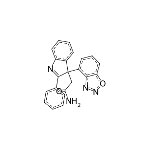 NC(=O)CC1(c2cccc3onnc23)C(c2ccccc2)=Nc2ccccc21